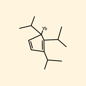 CC(C)C1=C(C(C)C)[C]([Yb])(C(C)C)C=C1